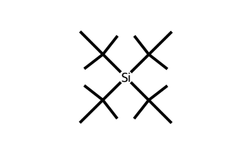 CC(C)(C)[Si](C(C)(C)C)(C(C)(C)C)C(C)(C)C